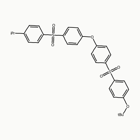 CC(C)c1ccc(S(=O)(=O)c2ccc(Oc3ccc(S(=O)(=O)c4ccc(OC(C)(C)C)cc4)cc3)cc2)cc1